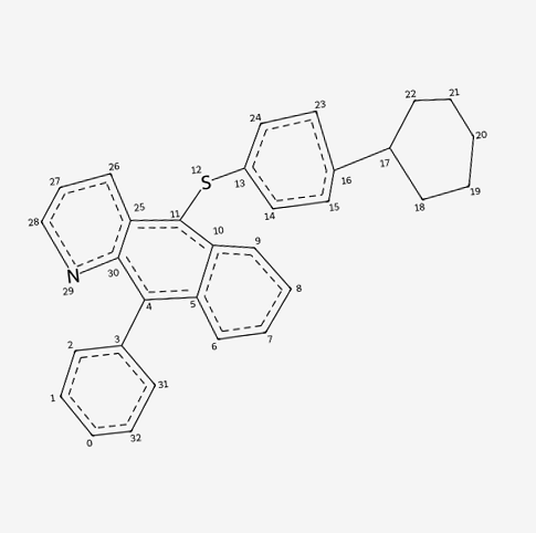 c1ccc(-c2c3ccccc3c(Sc3ccc(C4CCCCC4)cc3)c3cccnc23)cc1